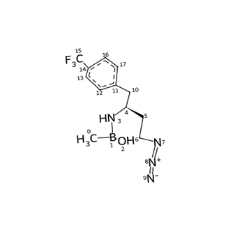 CB(O)N[C@H](CCN=[N+]=[N-])Cc1ccc(C(F)(F)F)cc1